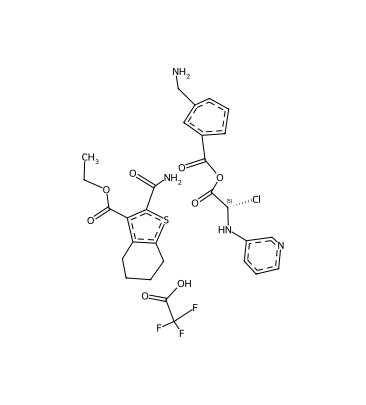 CCOC(=O)c1c(C(N)=O)sc2c1CCCC2.NCc1cccc(C(=O)OC(=O)[C@H](Cl)Nc2cccnc2)c1.O=C(O)C(F)(F)F